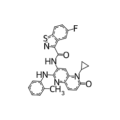 Cc1ccccc1Nc1nc2ccc(=O)n(C3CC3)c2cc1NC(=O)c1nsc2ccc(F)cc12